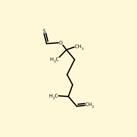 C=CC(C)CCCC(C)(C)OC=S